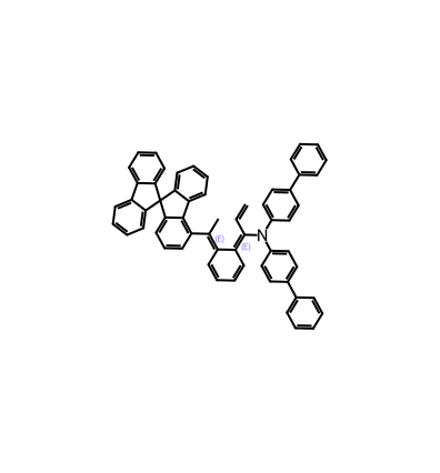 C=C/C(=c1/cccc/c1=C(/C)c1cccc2c1-c1ccccc1C21c2ccccc2-c2ccccc21)N(c1ccc(-c2ccccc2)cc1)c1ccc(-c2ccccc2)cc1